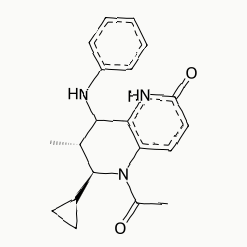 CC(=O)N1c2ccc(=O)[nH]c2C(Nc2ccccc2)[C@@H](C)[C@@H]1C1CC1